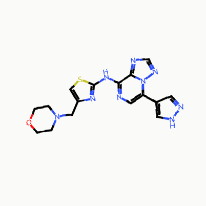 c1nc2c(Nc3nc(CN4CCOCC4)cs3)ncc(-c3cn[nH]c3)n2n1